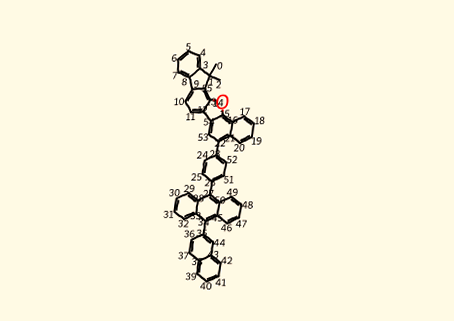 CC1(C)c2ccccc2-c2ccc3c(oc4c5ccccc5c(-c5ccc(-c6c7ccccc7c(-c7ccc8ccccc8c7)c7ccccc67)cc5)cc34)c21